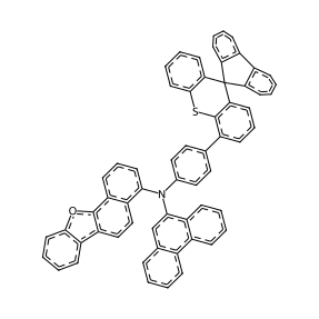 c1ccc2c(c1)Sc1c(-c3ccc(N(c4cc5ccccc5c5ccccc45)c4cccc5c4ccc4c6ccccc6oc54)cc3)cccc1C21c2ccccc2-c2ccccc21